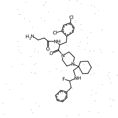 NCCC(=O)NC(Cc1ccc(Cl)cc1Cl)C(=O)N1CCN(C2(CNC(F)Cc3ccccc3)CCCCC2)CC1